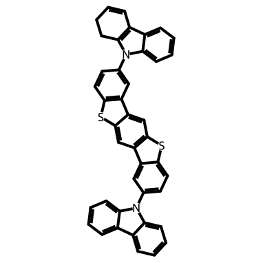 C1=Cc2c(n(-c3ccc4sc5cc6c(cc5c4c3)sc3ccc(-n4c5ccccc5c5ccccc54)cc36)c3ccccc23)CC1